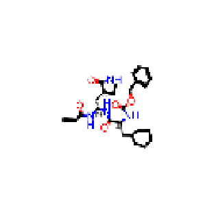 C=CC(=O)N[C@H](C[C@@H]1CCNC1=O)NC(=O)[C@H](CC1CCCCC1)NC(=O)OCc1ccccc1